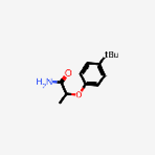 CC(Oc1ccc(C(C)(C)C)cc1)C(N)=O